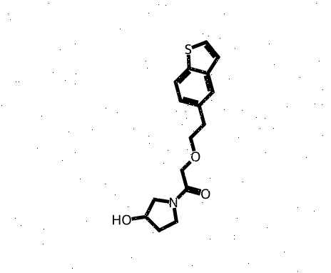 O=C(COCCc1ccc2sccc2c1)N1CCC(O)C1